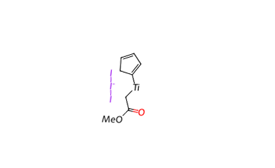 COC(=O)[CH2][Ti][C]1=CC=CC1.I[I-]I